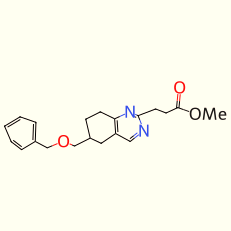 COC(=O)CCc1ncc2c(n1)CCC(COCc1ccccc1)C2